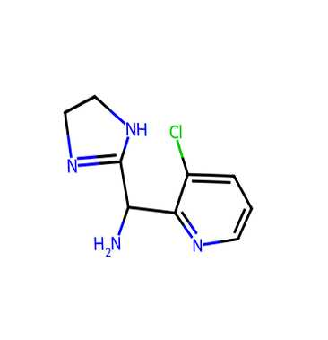 NC(C1=NCCN1)c1ncccc1Cl